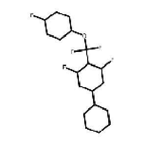 FC1CCC(OC(F)(F)C2C(F)CC(C3CCCCC3)CC2F)CC1